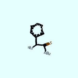 CCCC[C](C(=S)CCCC)c1ccccc1